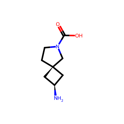 N[C@H]1C[C@]2(CCN(C(=O)O)C2)C1